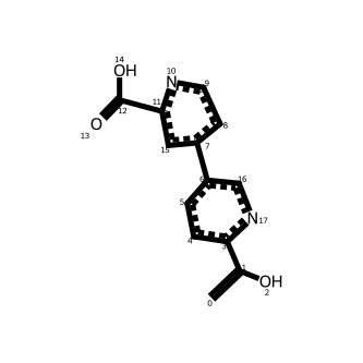 C=C(O)c1ccc(-c2ccnc(C(=O)O)c2)cn1